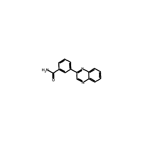 NC(=O)c1cccc(-c2cnc3ccccc3n2)c1